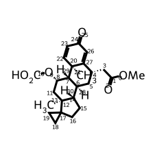 COC(=O)C[C@@H]1C[C@@H]2[C@H]([C@@H](OC(=O)O)C[C@@]3(C)[C@H]2CCC32CC2)[C@@]2(C)C=CC(=O)C=C12